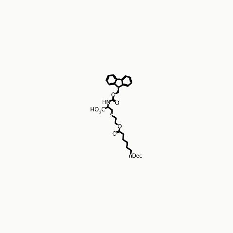 CCCCCCCCCCCCCCCC(=O)OCCSCC(NC(=O)OCC1c2ccccc2-c2ccccc21)C(=O)O